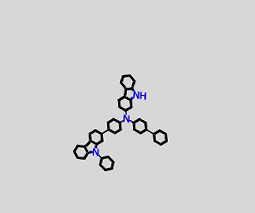 c1ccc(-c2ccc(N(c3ccc(-c4ccc5c6ccccc6n(-c6ccccc6)c5c4)cc3)c3ccc4c(c3)[nH]c3ccccc34)cc2)cc1